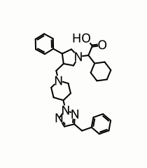 O=C(O)C(C1CCCCC1)N1CC(CN2CCC(n3ncc(Cc4ccccc4)n3)CC2)C(c2ccccc2)C1